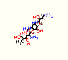 CC(CO)[C@@H](O)[C@H](O)C(N)[C@H](O)O[C@@H]1C(N)CC(NC(=O)[C@@H](O)CCN)C[C@H]1O